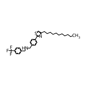 CCCCCCCCCCCc1csc(-c2ccc(CNCc3ccc(C(F)(F)F)cc3)cc2)n1